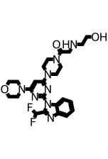 O=C(CNCCO)N1CCN(c2cc(N3CCOCC3)nc(-n3c(C(F)F)nc4ccccc43)n2)CC1